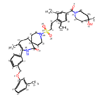 CC1=C(c2cccc(COc3cccc(C(F)(F)F)c3)c2)NC(=O)C2(CC1)CCN(S(=O)(=O)/C=C/c1c(C)cc(C(=O)N3CCC(C)(O)CC3)cc1C)CC2